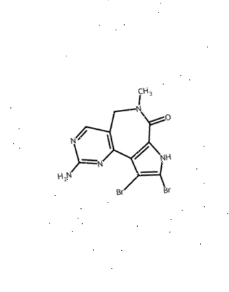 CN1Cc2cnc(N)nc2-c2c([nH]c(Br)c2Br)C1=O